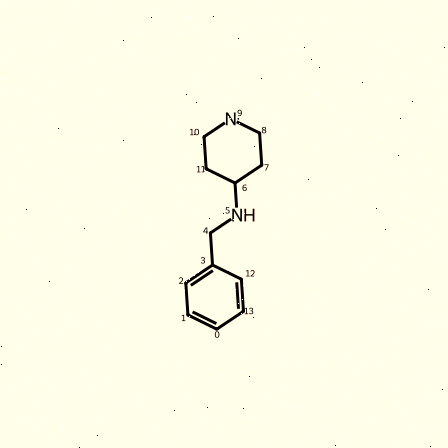 c1ccc(CNC2CC[N]CC2)cc1